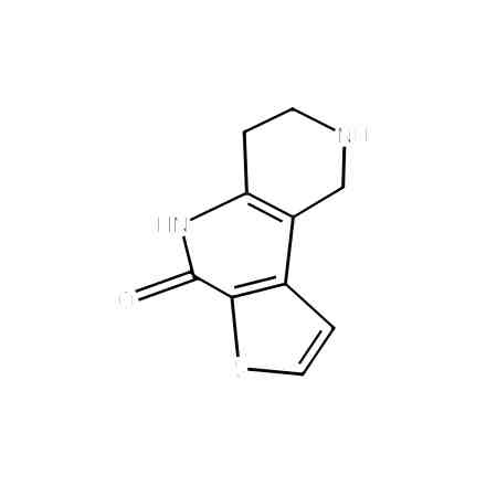 O=c1[nH]c2c(c3ccsc13)CNCC2